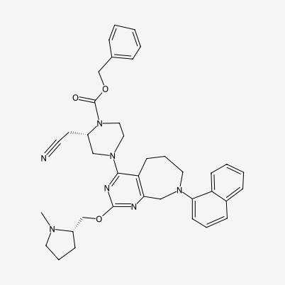 CN1CCC[C@H]1COc1nc2c(c(N3CCN(C(=O)OCc4ccccc4)[C@@H](CC#N)C3)n1)CCCN(c1cccc3ccccc13)C2